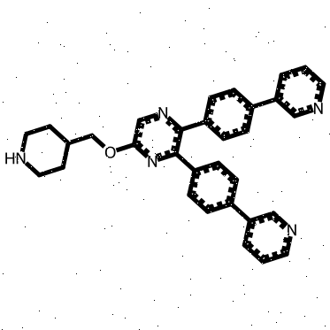 c1cncc(-c2ccc(-c3ncc(OCC4CCNCC4)nc3-c3ccc(-c4cccnc4)cc3)cc2)c1